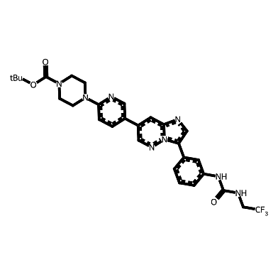 CC(C)(C)OC(=O)N1CCN(c2ccc(-c3cnn4c(-c5cccc(NC(=O)NCC(F)(F)F)c5)cnc4c3)cn2)CC1